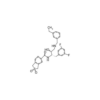 CCc1cccc(CNC[C@H](O)[C@H](Cc2cc(F)cc(F)c2)NC(=O)c2ccc3c(c2)CS(=O)(=O)C3)c1